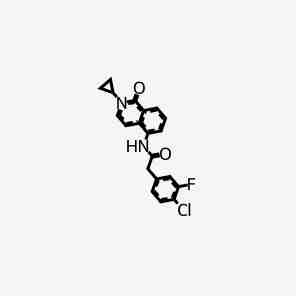 O=C(Cc1ccc(Cl)c(F)c1)Nc1cccc2c(=O)n(C3CC3)ccc12